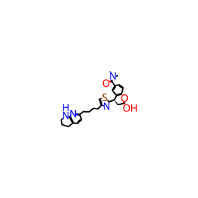 CN(C)C(=O)c1cccc([C@@H](CC(=O)O)c2nc(CCCCc3ccc4c(n3)NCCC4)cs2)c1